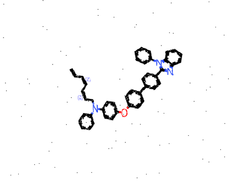 C=C/C=C\C=C/CN(c1ccccc1)c1ccc(Oc2ccc(-c3ccc(-c4nc5ccccc5n4-c4ccccc4)cc3)cc2)cc1